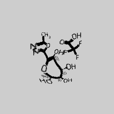 Cc1nnc(C2O[C@@H](O)[C@H](O)[C@@H](O)[C@@H]2O)o1.O=C(O)C(F)(F)F